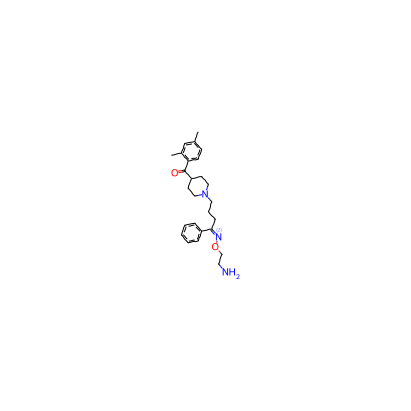 Cc1ccc(C(=O)C2CCN(CCC/C(=N/OCCN)c3ccccc3)CC2)c(C)c1